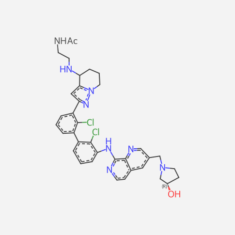 CC(=O)NCCNC1CCCn2nc(-c3cccc(-c4cccc(Nc5nccc6cc(CN7CC[C@@H](O)C7)cnc56)c4Cl)c3Cl)cc21